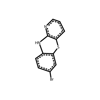 Brc1ccc2c(c1)Sc1cccnc1N2